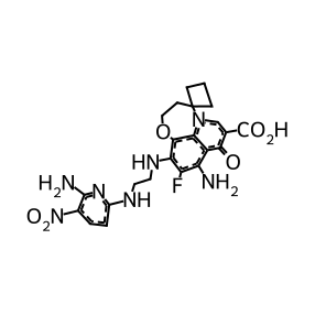 Nc1nc(NCCNc2c(F)c(N)c3c(=O)c(C(=O)O)cn4c3c2OCCC42CCC2)ccc1[N+](=O)[O-]